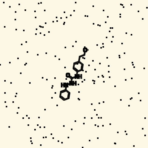 [O]CCc1ccc(NC(=O)NNc2ccccc2)cc1